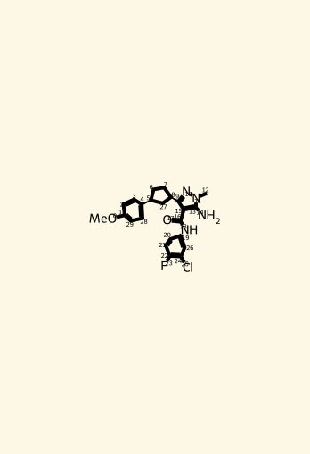 COc1ccc([C@H]2CC[C@@H](c3nn(C)c(N)c3C(=O)Nc3ccc(F)c(Cl)c3)C2)cc1